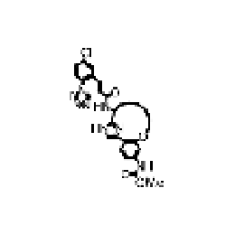 COC(=O)Nc1ccc2c(c1)OCCCCCC[C@H](NC(=O)/C=C/c1cc(Cl)ccc1-n1cnnn1)c1nc-2c[nH]1